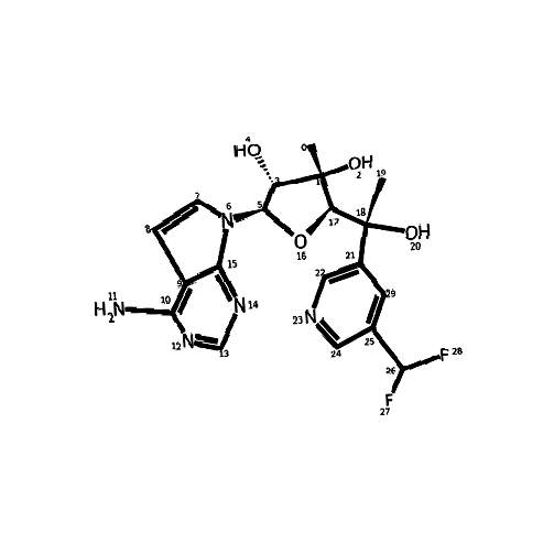 C[C@]1(O)[C@@H](O)[C@H](n2ccc3c(N)ncnc32)O[C@@H]1[C@](C)(O)c1cncc(C(F)F)c1